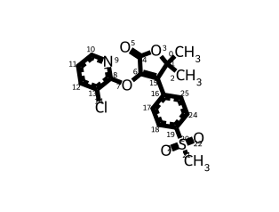 CC1(C)OC(=O)C(Oc2ncccc2Cl)=C1c1ccc(S(C)(=O)=O)cc1